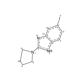 Ic1ccc2[nH]c(N3CCCC3)nc2c1